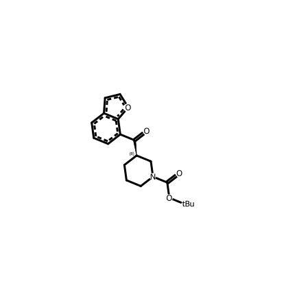 CC(C)(C)OC(=O)N1CCC[C@@H](C(=O)c2cccc3ccoc23)C1